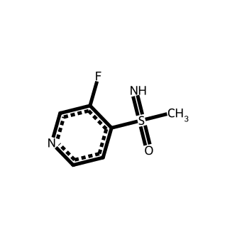 CS(=N)(=O)c1ccncc1F